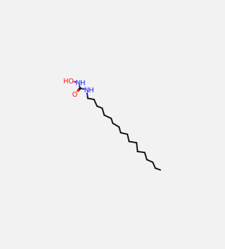 CCCCCCCCCCCCCCCCCCNC(=O)NO